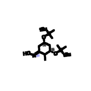 CC1/C(=N/O)C[C@@H](O[Si](C)(C)C(C)(C)C)C[C@@H]1O[Si](C)(C)C(C)(C)C